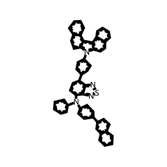 c1ccc(N(c2ccc(-c3ccc4ccccc4c3)cc2)c2ccc(-c3ccc(-n4c5ccc6ccccc6c5c5c6ccccc6ccc54)cc3)c3nsnc23)cc1